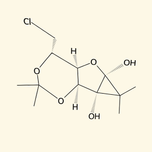 CC1(C)O[C@H](CCl)[C@H]2O[C@@]3(O)C(C)(C)[C@@]3(O)[C@H]2O1